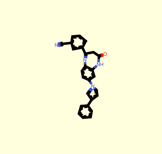 N#Cc1cccc(C2=Nc3ccc(-n4ccc(-c5ccccc5)c4)cc3NC(=O)C2)c1